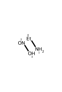 CCN.O=NO